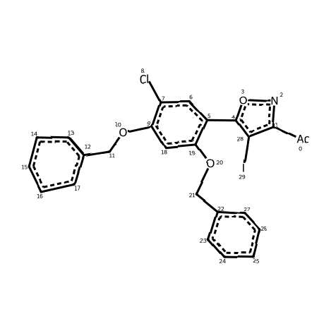 CC(=O)c1noc(-c2cc(Cl)c(OCc3ccccc3)cc2OCc2ccccc2)c1I